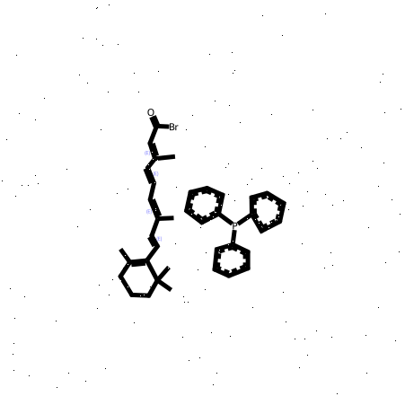 CC1=C(/C=C/C(C)=C/C=C/C(C)=C/C(=O)Br)C(C)(C)CCC1.c1ccc(P(c2ccccc2)c2ccccc2)cc1